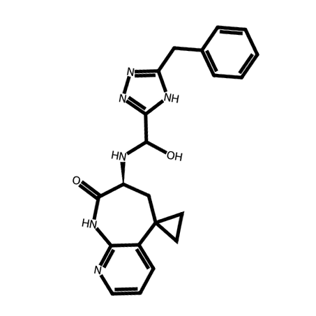 O=C1Nc2ncccc2C2(CC2)C[C@@H]1NC(O)c1nnc(Cc2ccccc2)[nH]1